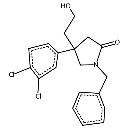 O=C1CC(CCO)(c2ccc(Cl)c(Cl)c2)CN1Cc1ccccc1